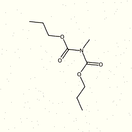 CCCOC(=O)N(C)C(=O)OCCC